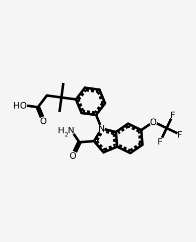 CC(C)(CC(=O)O)c1cccc(-n2c(C(N)=O)cc3ccc(OC(F)(F)F)cc32)c1